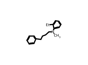 CCc1ccccc1N(C)CCCCc1ccccc1